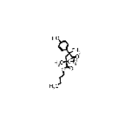 CCCCOC(=O)C(C)(C)CC(C)(C(=O)O)c1ccc(O)cc1